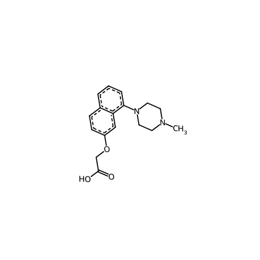 CN1CCN(c2cccc3ccc(OCC(=O)O)cc23)CC1